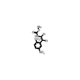 CCC(NC(=O)OC(C)(C)C)C(CC)c1cc([N+](=O)[O-])ccc1C(=O)O